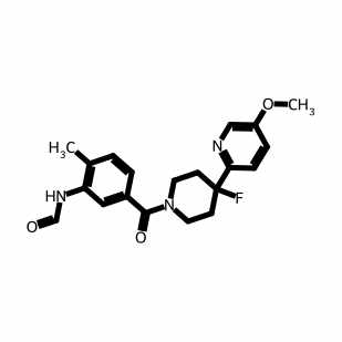 COc1ccc(C2(F)CCN(C(=O)c3ccc(C)c(NC=O)c3)CC2)nc1